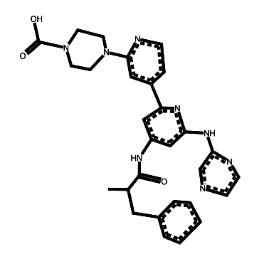 CC(Cc1ccccc1)C(=O)Nc1cc(Nc2cnccn2)nc(-c2ccnc(N3CCN(C(=O)O)CC3)c2)c1